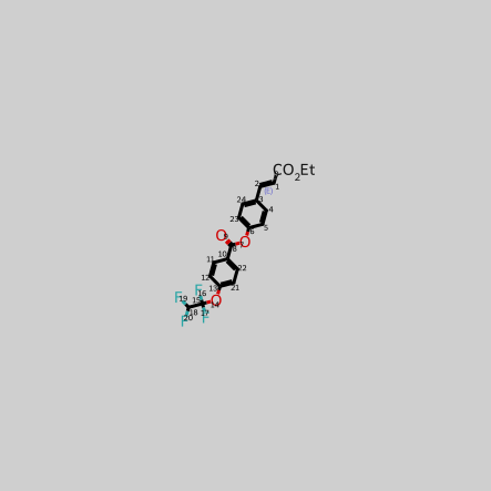 CCOC(=O)/C=C/c1ccc(OC(=O)c2ccc(OC(F)(F)C(F)F)cc2)cc1